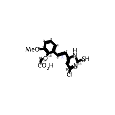 COc1cccc(/C=C/C2=CC(Cl)=NC(S)N2)c1OCC(=O)O